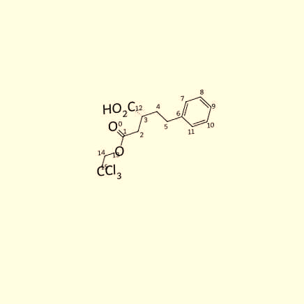 O=C(C[C@@H](CCc1ccccc1)C(=O)O)OCC(Cl)(Cl)Cl